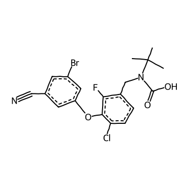 CC(C)(C)N(Cc1ccc(Cl)c(Oc2cc(Br)cc(C#N)c2)c1F)C(=O)O